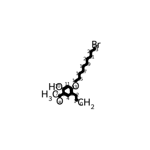 C=CCc1cc(C(C)=O)c(O)cc1OCCCCCCCCCCBr